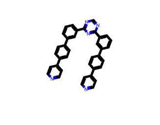 c1cc(-c2ccc(-c3ccncc3)cc2)cc(-c2ncnc(-c3cccc(-c4ccc(-c5ccncc5)cc4)c3)n2)c1